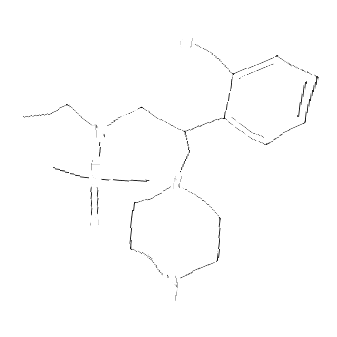 CCN(CC(c1ccccc1Cl)N1CCNCC1)[SH](C)(C)=O